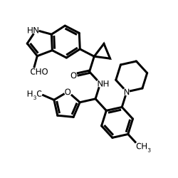 Cc1ccc(C(NC(=O)C2(c3ccc4[nH]cc(C=O)c4c3)CC2)c2ccc(C)o2)c(N2CCCCC2)c1